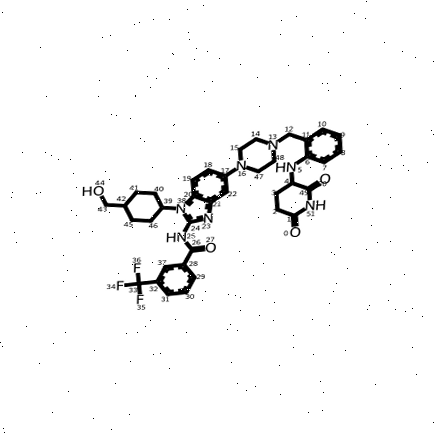 O=C1CCC(Nc2ccccc2CN2CCN(c3ccc4c(c3)nc(NC(=O)c3cccc(C(F)(F)F)c3)n4C3CCC(CO)CC3)CC2)C(=O)N1